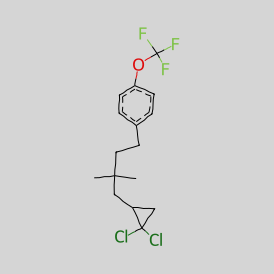 CC(C)(CCc1ccc(OC(F)(F)F)cc1)CC1CC1(Cl)Cl